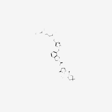 CC(CCOC(C)C(C)C)OCc1cn(Cc2cccc3c2CN(C(=O)C[C@@H]2C[C@@H](C(=O)N4CC(F)(F)C[C@H]4C#N)NC2=O)C3)nn1